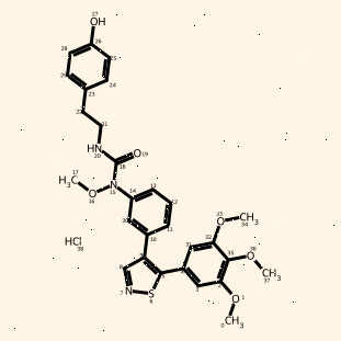 COc1cc(-c2sncc2-c2cccc(N(OC)C(=O)NCCc3ccc(O)cc3)c2)cc(OC)c1OC.Cl